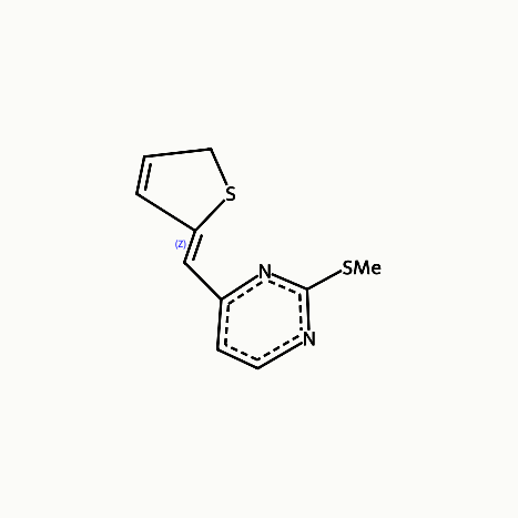 CSc1nccc(/C=C2/C=CCS2)n1